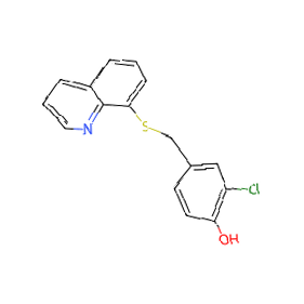 Oc1ccc(CSc2cccc3cccnc23)cc1Cl